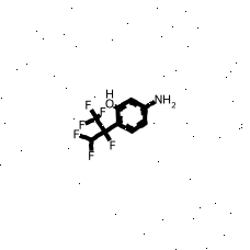 Nc1ccc(C(F)(C(F)F)C(F)(F)F)c(O)c1